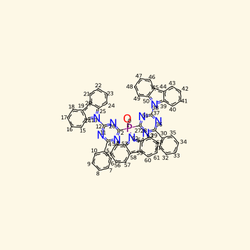 O=P(c1nc(-c2ccccc2)nc(-n2c3ccccc3c3ccccc32)n1)(c1nc(-c2ccccc2)nc(-n2c3ccccc3c3ccccc32)n1)n1c2ccccc2c2ccccc21